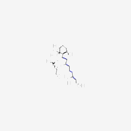 CC1=C(/C=C/C(C)=C/C=C/C(C)=C/CO)C(C)(C)CCC1.CCC(=O)OCCO